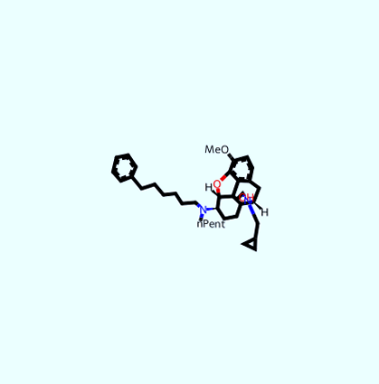 CCCCCN(CCCCCCc1ccccc1)[C@@H]1CC[C@@]2(O)[C@H]3Cc4ccc(OC)c5c4[C@@]2(CCN3CC2CC2)[C@H]1O5